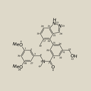 COc1cc(CN(C)C(=O)c2cc(CO)cc(-c3c(C)ccc4[nH]ncc34)c2)cc(OC)c1